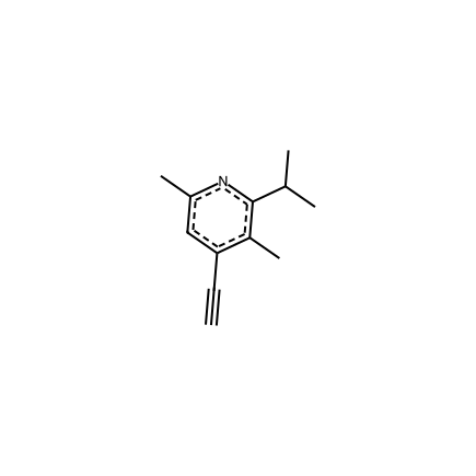 C#Cc1cc(C)nc(C(C)C)c1C